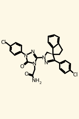 NC(=O)Cn1c(N2C[C@@]3(CCc4ccccc43)C(c3ccc(Cl)cc3)=N2)nn(-c2ccc(Cl)cc2)c1=O